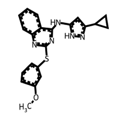 COc1cccc(Sc2nc(Nc3cc(C4CC4)n[nH]3)c3ccccc3n2)c1